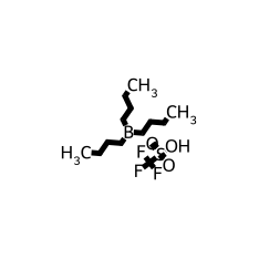 CCCCB(CCCC)CCCC.O=S(=O)(O)C(F)(F)F